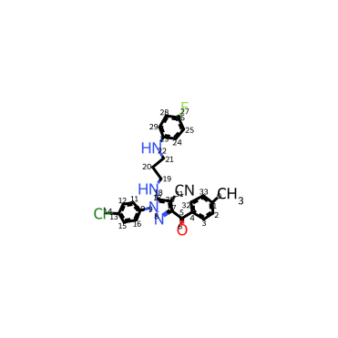 Cc1ccc(C(=O)c2nn(-c3ccc(Cl)cc3)c(NCCCNc3ccc(F)cc3)c2C#N)cc1